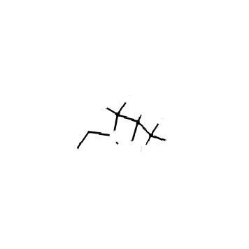 CC[S+]([O-])C(F)(F)C(F)(F)C(F)(F)F